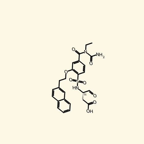 CCN(C(N)=O)C(=O)c1ccc(S(=O)(=O)N[C@H](C=O)CC(=O)O)c(OCCc2ccc3ccccc3c2)c1